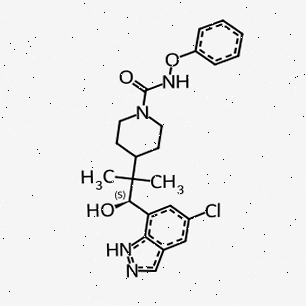 CC(C)(C1CCN(C(=O)NOc2ccccc2)CC1)[C@H](O)c1cc(Cl)cc2cn[nH]c12